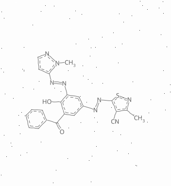 Cc1nsc(/N=N/c2cc(/N=N/c3ccnn3C)c(O)c(C(=O)c3ccccc3)c2)c1C#N